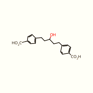 O=C(O)c1ccc(CCC(O)CCc2ccc(C(=O)O)cc2)cc1